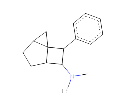 CCN(C)C1C2CCC3CC32C1c1ccccc1